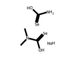 CN(C)C(O)=[Se].NC(O)=[Se].[NaH]